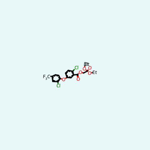 CCOC(COC(=O)c1cc(Oc2ccc(C(F)(F)F)cc2Cl)ccc1Cl)(OCC)OCC